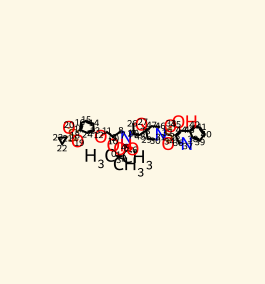 CC(C)(C)OC(=O)N(C[C@H](O)COc1cccc(S(=O)(=O)C2CC2)c1)[C@H]1COC2(CCN(S(=O)(=O)c3cnc4ccccc4c3O)CC2)C1